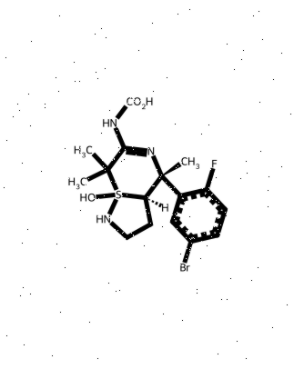 CC1(C)C(NC(=O)O)=N[C@](C)(c2cc(Br)ccc2F)[C@H]2CCNS21O